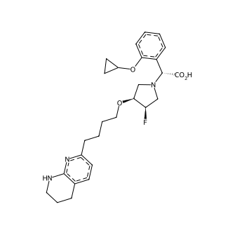 O=C(O)[C@@H](c1ccccc1OC1CC1)N1C[C@@H](F)[C@@H](OCCCCc2ccc3c(n2)NCCC3)C1